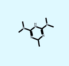 CC1N=C(N(C)C)NC(N(C)C)=N1